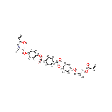 C=CC(=O)/C=C(/C)COc1ccc(OC(=O)c2ccc(C(=O)Oc3ccc(OCC(C)COC(=O)C=C)cc3)cc2)cc1